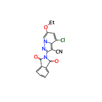 CCOc1cc(Cl)c2c(C#N)c(N3C(=O)c4ccccc4C3=O)nn2c1